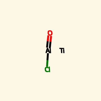 [O]=[Al][Cl].[Ti]